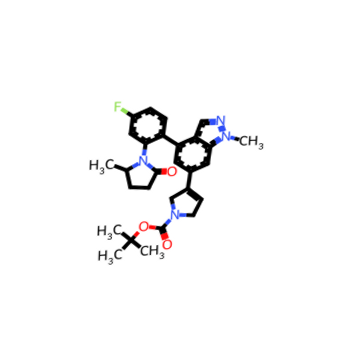 CC1CCC(=O)N1c1cc(F)ccc1-c1cc(C2=CCN(C(=O)OC(C)(C)C)C2)cc2c1cnn2C